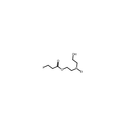 CCN(CCO)CCOC(=O)CCI